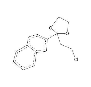 ClCCC1(c2ccc3ccccc3c2)OCCO1